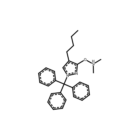 CCCCc1cn(C(c2ccccc2)(c2ccccc2)c2ccccc2)nc1O[SiH](C)C